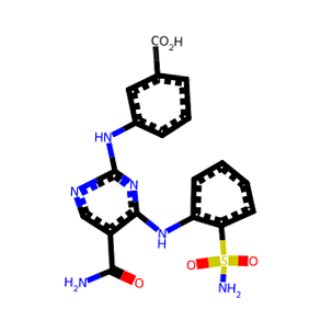 NC(=O)c1cnc(Nc2cccc(C(=O)O)c2)nc1Nc1ccccc1S(N)(=O)=O